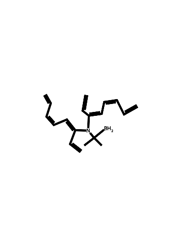 BC(C)(C)N(/C(C=C)=C/C=C\C=C)/C(C=C)=C/C=C\C=C